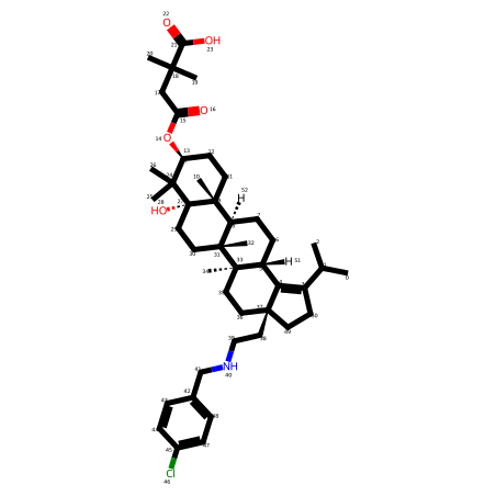 CC(C)C1=C2[C@H]3CC[C@@H]4[C@@]5(C)CC[C@H](OC(=O)CC(C)(C)C(=O)O)C(C)(C)[C@]5(O)CC[C@@]4(C)[C@]3(C)CC[C@@]2(CCNCc2ccc(Cl)cc2)CC1